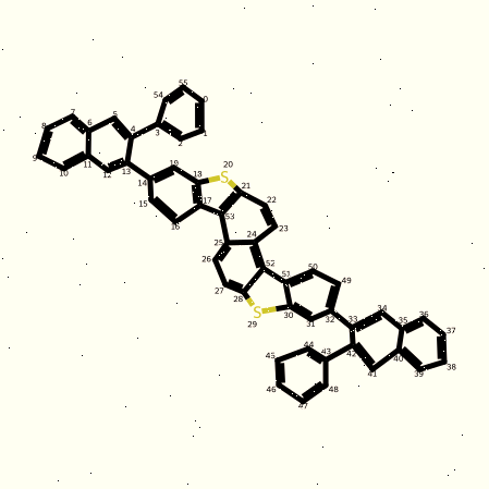 c1ccc(-c2cc3ccccc3cc2-c2ccc3c(c2)sc2ccc4c(ccc5sc6cc(-c7cc8ccccc8cc7-c7ccccc7)ccc6c54)c23)cc1